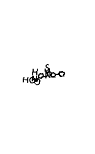 O=C(NO)c1cccc(Cn2c3c(c4cc(-c5ccccc5)ccc42)CSCC3)c1